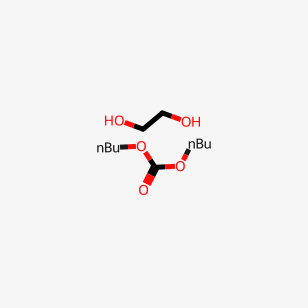 CCCCOC(=O)OCCCC.OCCO